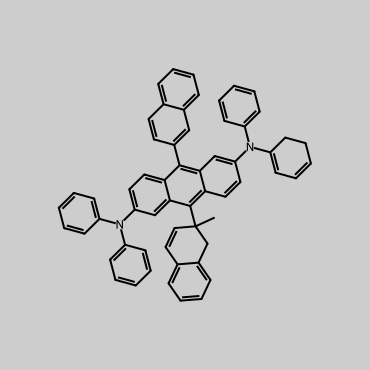 CC1(c2c3ccc(N(C4=CC=CCC4)c4ccccc4)cc3c(-c3ccc4ccccc4c3)c3ccc(N(c4ccccc4)c4ccccc4)cc23)C=Cc2ccccc2C1